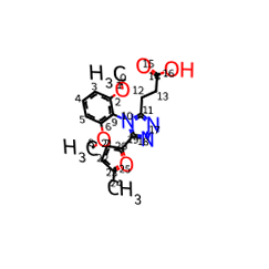 COc1cccc(OC)c1-n1c(CCC(=O)O)nnc1-c1ccc(C)o1